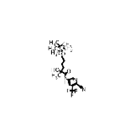 CC(O)(CCCCO[Si](C)(C)C(C)(C)C)C(=O)Nc1cnc(C#N)c(C(F)(F)F)c1